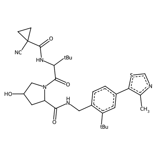 Cc1ncsc1-c1ccc(CNC(=O)C2CC(O)CN2C(=O)C(NC(=O)C2(C#N)CC2)C(C)(C)C)c(C(C)(C)C)c1